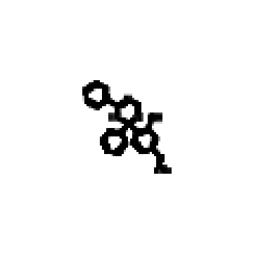 CCCCOc1ccc(C2(c3ccccc3)N=CN=C(c3ccccc3)N2)c(O)c1